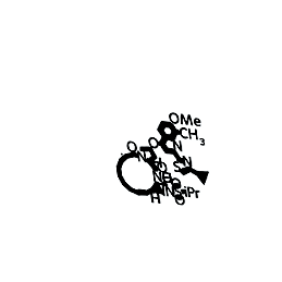 COc1ccc2c(O[C@@H]3C[C@H]4C(=O)N[C@]5(C(=O)NS(=O)(=O)C(C)C)C[C@H]5/C=C\CCCCC[C]C(=O)N4C3)cc(-c3nc(C4CC4)cs3)nc2c1C